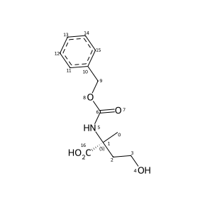 C[C@@](CCO)(NC(=O)OCc1ccccc1)C(=O)O